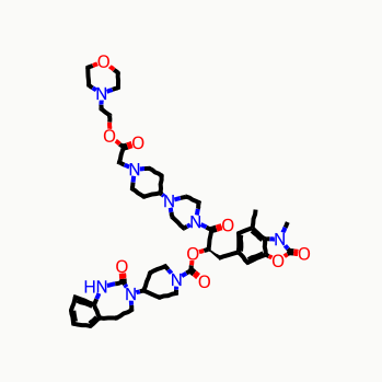 Cc1cc(C[C@@H](OC(=O)N2CCC(N3CCc4ccccc4NC3=O)CC2)C(=O)N2CCN(C3CCN(CC(=O)OCCN4CCOCC4)CC3)CC2)cc2oc(=O)n(C)c12